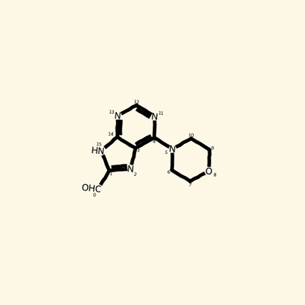 O=Cc1nc2c(N3CCOCC3)ncnc2[nH]1